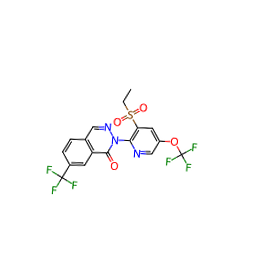 CCS(=O)(=O)c1cc(OC(F)(F)F)cnc1-n1ncc2ccc(C(F)(F)F)cc2c1=O